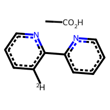 CC(=O)O.[2H]c1cccnc1-c1ccccn1